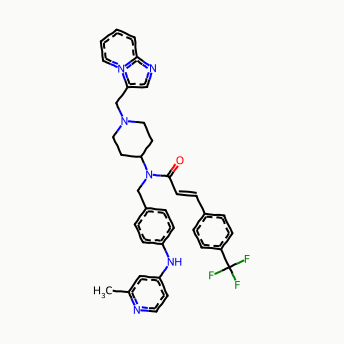 Cc1cc(Nc2ccc(CN(C(=O)C=Cc3ccc(C(F)(F)F)cc3)C3CCN(Cc4cnc5ccccn45)CC3)cc2)ccn1